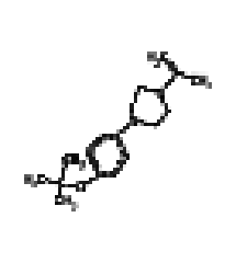 C=C(C)N1CCN(c2ccc(OC(C)(C)C)cc2)CC1